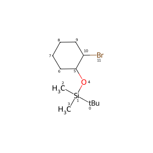 CC(C)(C)[Si](C)(C)OC1CCCCC1Br